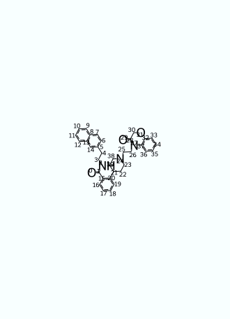 O=C(NCCc1ccc2ccccc2c1)c1ccccc1C1CCN(CCN2C(=O)COc3ccccc32)CC1